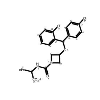 CCCC(NC(=O)N1CC(OC(c2ccc(Cl)cc2)c2ccccc2Cl)C1)C(=O)O